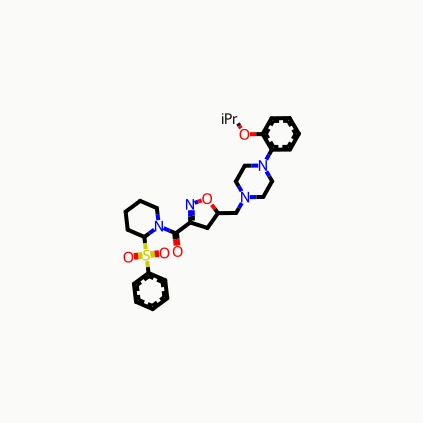 CC(C)Oc1ccccc1N1CCN(CC2CC(C(=O)N3CCCCC3S(=O)(=O)c3ccccc3)=NO2)CC1